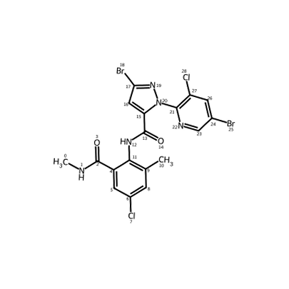 CNC(=O)c1cc(Cl)cc(C)c1NC(=O)c1cc(Br)nn1-c1ncc(Br)cc1Cl